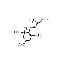 [CH2]/C=C(C)/C=C/C1=C(C)C[C@@H](OC(C)=O)CC1(C)C